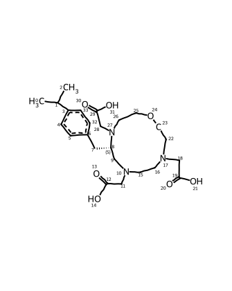 CC(C)c1ccc(C[C@H]2CN(CC(=O)O)CCN(CC(=O)O)CCOCCN2CC(=O)O)cc1